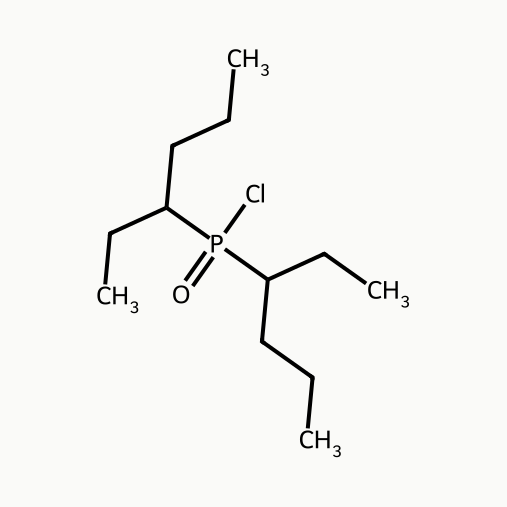 CCCC(CC)P(=O)(Cl)C(CC)CCC